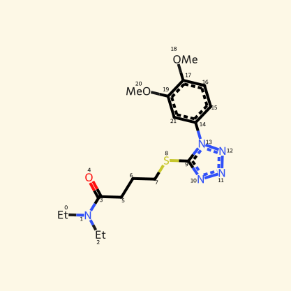 CCN(CC)C(=O)CCCSc1nnnn1-c1ccc(OC)c(OC)c1